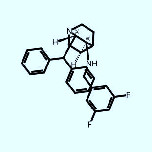 Fc1cc(F)cc(CN[C@@H]2C3CCN(CC3)[C@H]2C(c2ccccc2)c2ccccc2)c1